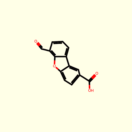 O=Cc1cccc2c1oc1ccc(C(=O)O)cc12